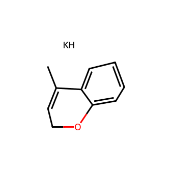 CC1=CCOc2ccccc21.[KH]